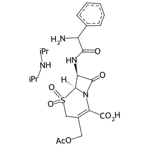 CC(=O)OCC1=C(C(=O)O)N2C(=O)[C@H](NC(=O)C(N)c3ccccc3)[C@@H]2S(=O)(=O)C1.CC(C)NC(C)C